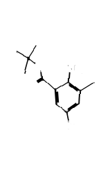 Cc1cc(Br)cc(C(=O)OC(C)(C)C)c1N